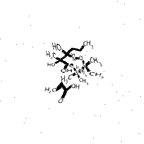 C=CC(=O)O.CCCC(O)([SiH](O[Si](C)(C)C)O[Si](C)(C)C)C(C)(O)CO